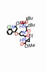 CCC1CC1(NC(=O)C1CC(Oc2cc(OC)nc3c(Cl)cccc23)CN1C(=O)C(NC(=O)OC(C)(C)C)C(C)(C)C)C(=O)OC